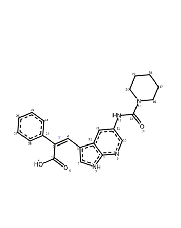 O=C(O)/C(=C\c1c[nH]c2ncc(NC(=O)N3CCCCC3)cc12)c1ccccc1